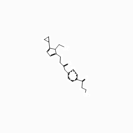 CCCC(=O)c1ccc(CC(=O)CCC2=CC=C(C3CC3)C2CC)cc1